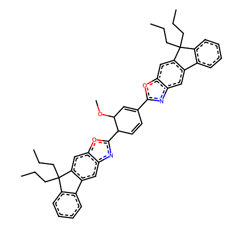 CCCC1(CCC)c2ccccc2-c2cc3nc([C]4C=CC(c5nc6cc7c(cc6o5)C(CCC)(CCC)c5ccccc5-7)=CC4OC)oc3cc21